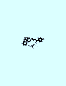 CC(=O)O.NC(=O)C1(N2CCCCC2)CCN(CCCC(=O)c2ccc(F)cc2)CC1